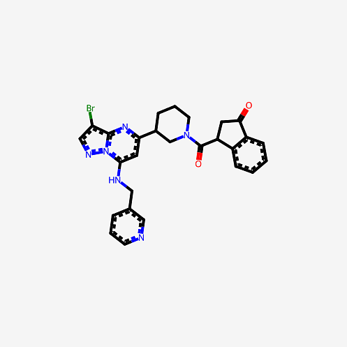 O=C1CC(C(=O)N2CCCC(c3cc(NCc4cccnc4)n4ncc(Br)c4n3)C2)c2ccccc21